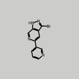 Brc1n[nH]c2cnc(-c3cccnc3)cc12